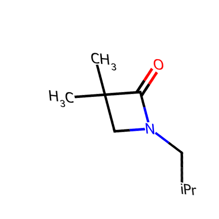 CC(C)CN1CC(C)(C)C1=O